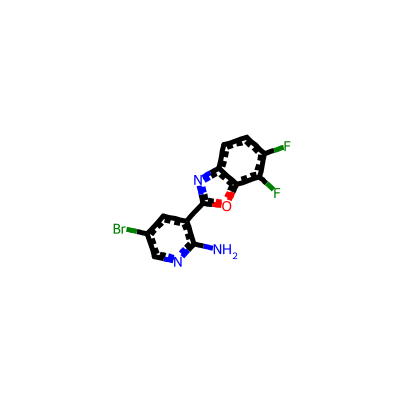 Nc1ncc(Br)cc1-c1nc2ccc(F)c(F)c2o1